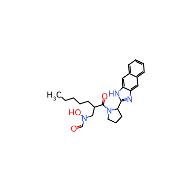 CCCCCC(CN(O)C=O)C(=O)N1CCCC1c1nc2cc3ccccc3cc2[nH]1